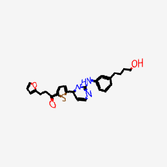 O=C(CCc1ccco1)c1ccc(-c2ccnc(Nc3cccc(CCCCO)c3)n2)s1